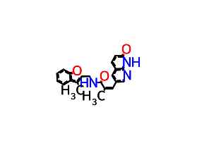 CC(=Cc1cnc2[nH]c(=O)ccc2c1)C(=O)NCc1oc2ccccc2c1C